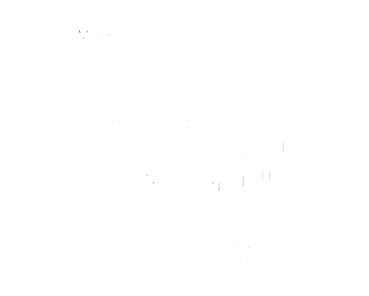 COCCCOC1=CC2=C(NC1C1CC1)c1cc(=O)c(C(=O)O)cn1[C@H]1[C@@H]2CCC1(C)C